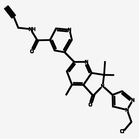 C#CCNC(=O)c1cncc(-c2cc(C)c3c(n2)C(C)(C)N(c2cnn(CCl)c2)C3=O)c1